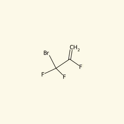 C=C(F)C(F)(F)Br